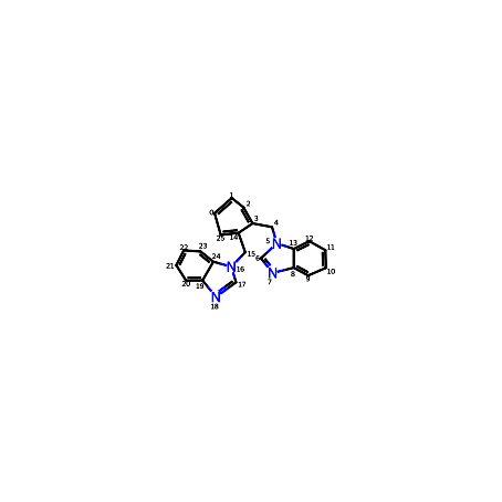 c1ccc(Cn2cnc3ccccc32)c(Cn2cnc3ccccc32)c1